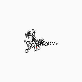 COc1ccc(CN(c2nn(CC(F)F)c3c(-n4c([C@H](Cc5cc(F)cc(F)c5)NC(=O)Cn5nc(C(F)F)c6c5C(F)(F)[C@@H]5C[C@H]65)nc(OCc5ccccc5)cc4=O)ccc(Cl)c23)S(=O)(=O)C2CC2)cc1